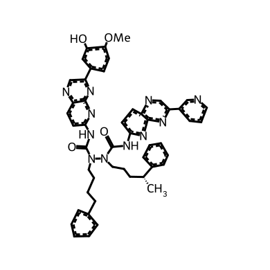 COc1ccc(-c2cnc3ccc(NC(=O)N(CCCCc4ccccc4)N(CCC[C@@H](C)c4ccccc4)C(=O)Nc4ccc5ncc(-c6cccnc6)nc5n4)nc3n2)cc1O